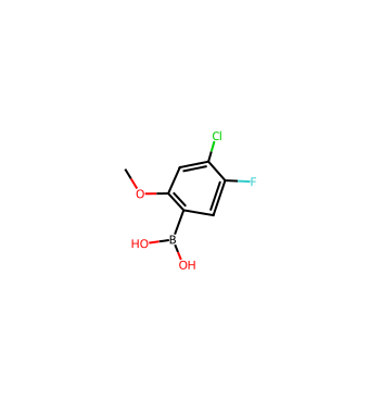 COc1cc(Cl)c(F)cc1B(O)O